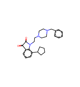 O=C1C(=O)N(CCN2CCN(Cc3ccccc3)CC2)c2c1cccc2C1CCCC1